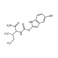 CCC(C)C(NC(=O)Oc1cc2cc(O)ccc2[nH]1)C(N)=O